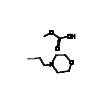 CCCN1CCOCC1.COC(=O)O